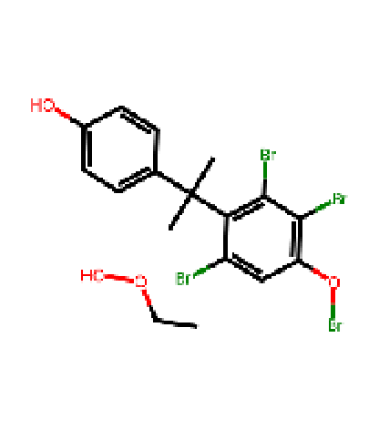 CC(C)(c1ccc(O)cc1)c1c(Br)cc(OBr)c(Br)c1Br.CCOO